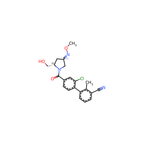 CO/N=C1\C[C@@H](CO)N(C(=O)c2ccc(-c3cccc(C#N)c3C)c(Cl)c2)C1